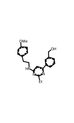 CCc1nc(NCCc2ccc(OC)cc2)cc(-c2cccc(CO)c2)n1